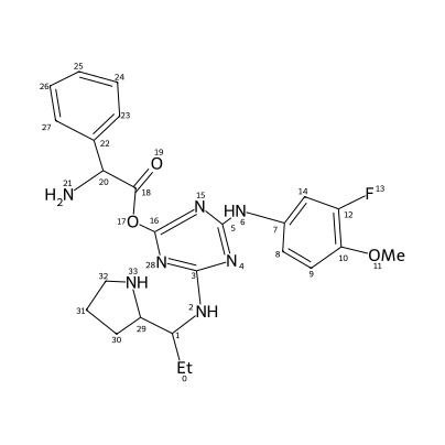 CCC(Nc1nc(Nc2ccc(OC)c(F)c2)nc(OC(=O)C(N)c2ccccc2)n1)C1CCCN1